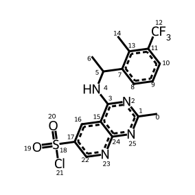 Cc1nc(NC(C)c2cccc(C(F)(F)F)c2C)c2cc(S(=O)(=O)Cl)cnc2n1